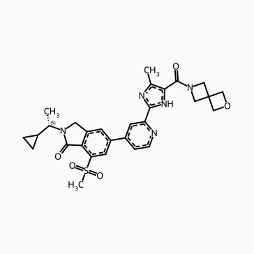 Cc1nc(-c2cc(-c3cc4c(c(S(C)(=O)=O)c3)C(=O)N([C@@H](C)C3CC3)C4)ccn2)[nH]c1C(=O)N1CC2(COC2)C1